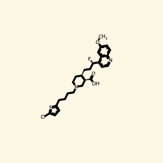 COc1ccc2nccc([C@H](F)CC[C@@H]3CCN(CCCCc4ccc(Cl)s4)C[C@@H]3C(=O)O)c2c1